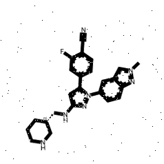 Cn1cc2cc(-n3nc(NC[C@H]4CCCNC4)cc3-c3ccc(C#N)c(F)c3)ccc2n1